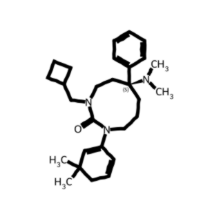 CN(C)[C@@]1(c2ccccc2)CCCN(C2=CC(C)(C)CC=C2)C(=O)N(CC2CCC2)CC1